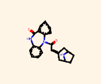 O=C1Nc2ccccc2N(C(=O)C=C2CC3CCC(C2)N3)c2ccccc21